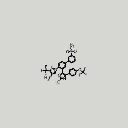 Cc1nc(-c2ccc(OC(F)(F)F)cc2)c(-c2cc(-c3cccc(S(C)(=O)=O)c3)ccc2-n2cc(C)c(C(F)(F)F)n2)o1